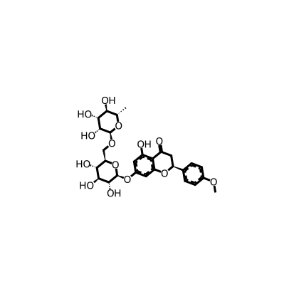 COc1ccc([C@@H]2CC(=O)c3c(O)cc(O[C@@H]4O[C@H](CO[C@@H]5O[C@@H](C)[C@H](O)[C@@H](O)[C@H]5O)[C@@H](O)[C@H](O)[C@H]4O)cc3O2)cc1